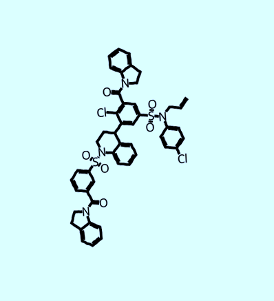 C=CCN(c1ccc(Cl)cc1)S(=O)(=O)c1cc(C(=O)N2CCc3ccccc32)c(Cl)c(C2CCN(S(=O)(=O)c3cccc(C(=O)N4CCc5ccccc54)c3)c3ccccc32)c1